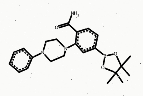 CC1(C)OB(c2ccc(C(N)=O)c(N3CCN(c4ccccc4)CC3)c2)OC1(C)C